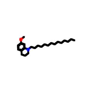 CCCCCCCCCCCCCCN1CCCc2ccc(OC)cc21